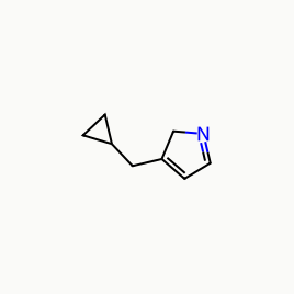 C1=NCC(CC2CC2)=C1